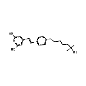 CC(C)(O)CCCCCc1ccc(/C=C/c2cc(O)cc(O)c2)cc1